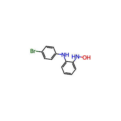 ONc1ccccc1Nc1ccc(Br)cc1